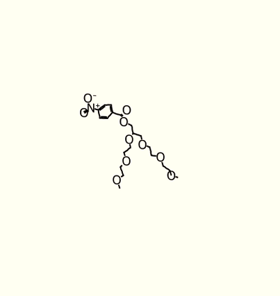 COCCOCCOCC(COC(=O)c1ccc([N+](=O)[O-])cc1)OCCOCCOC